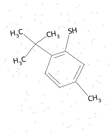 Cc1ccc(C(C)(C)C)c(S)c1